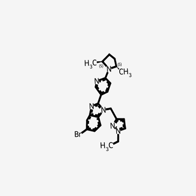 CCn1ccc(Cn2c(-c3ccc(N4[C@@H](C)CC[C@@H]4C)nc3)nc3cc(Br)ccc32)n1